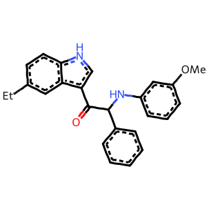 CCc1ccc2[nH]cc(C(=O)C(Nc3cccc(OC)c3)c3ccccc3)c2c1